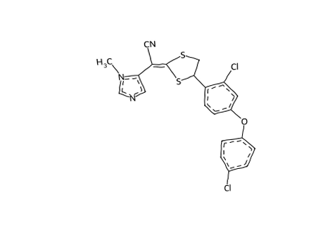 Cn1cncc1/C(C#N)=C1/SCC(c2ccc(Oc3ccc(Cl)cc3)cc2Cl)S1